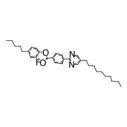 CCCCCCCCCCc1cnc(-c2ccc(C(=O)Oc3ccc(CCCCC)cc3F)cc2)nc1